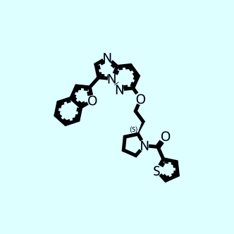 O=C(c1cccs1)N1CCC[C@H]1CCOc1ccc2ncc(-c3cc4ccccc4o3)n2n1